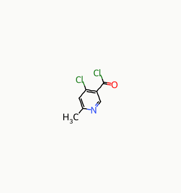 Cc1cc(Cl)c(C(=O)Cl)cn1